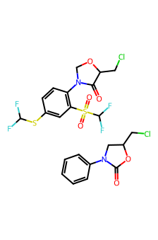 O=C1C(CCl)OCN1c1ccc(SC(F)F)cc1S(=O)(=O)C(F)F.O=C1OC(CCl)CN1c1ccccc1